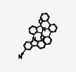 N#Cc1ccc2c(c1)c1ccccc1n2-c1cccc2c1C(=O)N(c1c(-c3ccccc3)cccc1-c1ccccc1)C2=O